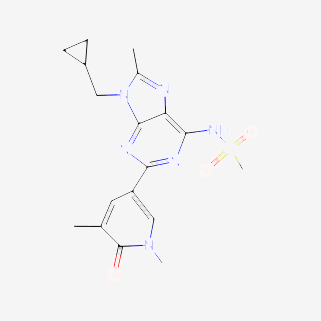 Cc1cc(-c2nc(NS(C)(=O)=O)c3nc(C)n(CC4CC4)c3n2)cn(C)c1=O